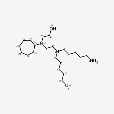 NCCCCCN(CCCCCO)CCN(CCO)C1CCCCCC1